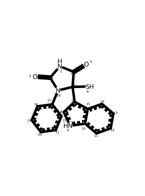 O=C1NC(=O)C(S)(c2c[nH]c3ccccc23)N1c1ccccc1